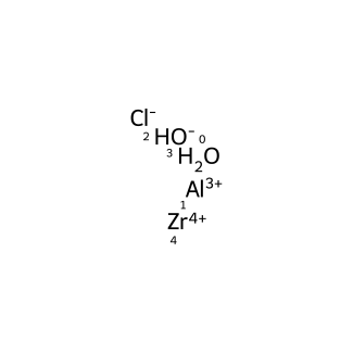 O.[Al+3].[Cl-].[OH-].[Zr+4]